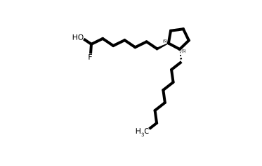 CCCCCCCC[C@H]1CCC[C@@H]1CCCCCCC(O)F